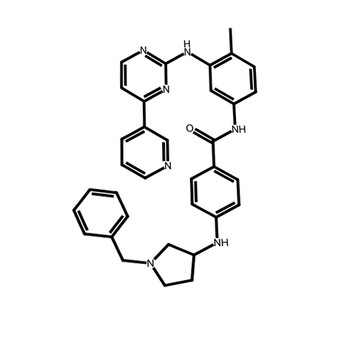 Cc1ccc(NC(=O)c2ccc(NC3CCN(Cc4ccccc4)C3)cc2)cc1Nc1nccc(-c2cccnc2)n1